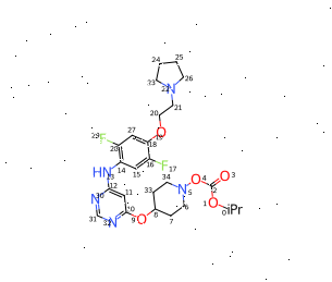 CC(C)OC(=O)ON1CCC(Oc2cc(Nc3cc(F)c(OCCN4CCCC4)cc3F)ncn2)CC1